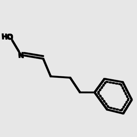 ON=CCCCc1ccccc1